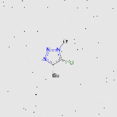 CCn1nnc(C(C)(C)C)c1Cl